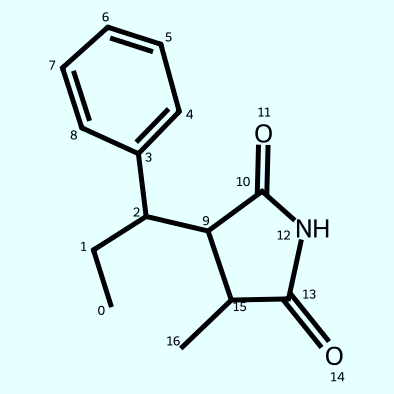 CCC(c1ccccc1)C1C(=O)NC(=O)C1C